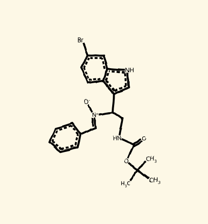 CC(C)(C)OC(=O)NCC(c1c[nH]c2cc(Br)ccc12)[N+]([O-])=Cc1ccccc1